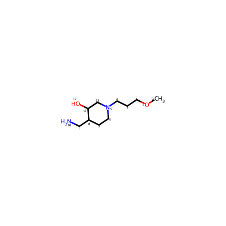 COCCCN1CCC(CN)C(O)C1